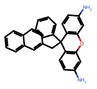 Nc1ccc2c(c1)Oc1cc(N)ccc1C2(Cc1ccc2ccccc2c1)c1ccccc1